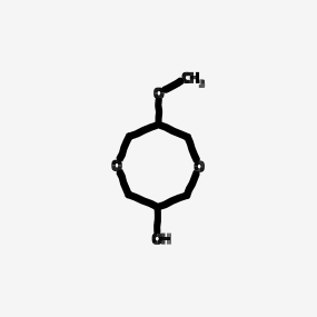 COC1COCC(O)COC1